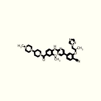 COc1cc(C(=O)N2CCC(N3CCN(C)CC3)CC2)ccc1Nc1ncc(-c2ccc(C#N)c(O[C@@H](C)Cn3cncn3)c2)cn1